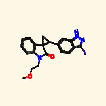 COCCN1C(=O)C2(CC2c2ccc3c(I)n[nH]c3c2)c2ccccc21